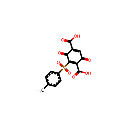 Cc1ccc(S(=O)(=O)C2=C(C(=O)O)C(=O)C=C(C(=O)O)C2=O)cc1